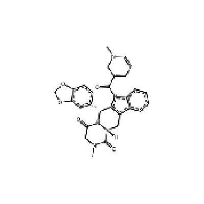 CN1C=CC=C(C(=O)n2c3c(c4ccccc42)C[C@@H]2C(=O)N(C)CC(=O)N2[C@@H]3c2ccc3c(c2)OCO3)C1